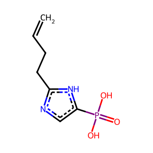 C=CCCc1ncc(P(=O)(O)O)[nH]1